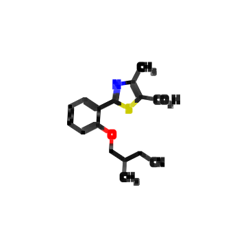 Cc1nc(-c2ccccc2OCC(C)CC#N)sc1C(=O)O